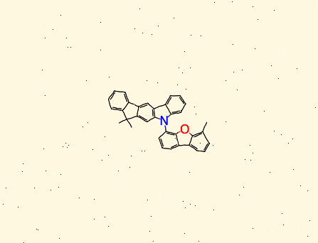 Cc1cccc2c1oc1c(-n3c4ccccc4c4cc5c(cc43)C(C)(C)c3ccccc3-5)cccc12